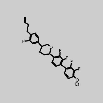 C=CCCc1ccc(C2CCC(c3ccc(-c4ccc(OCC)c(F)c4F)c(F)c3F)OC2)cc1F